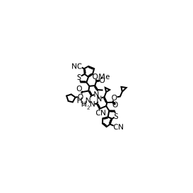 COC(=O)C1=C(C)N(N2C(N)=C(C#N)C(c3csc4c(C#N)cccc34)C(C(=O)OCC3CC3)=C2C2CC2)C(N)=C(C(=O)OC2CCCC2)C1c1csc2c(C#N)cccc12